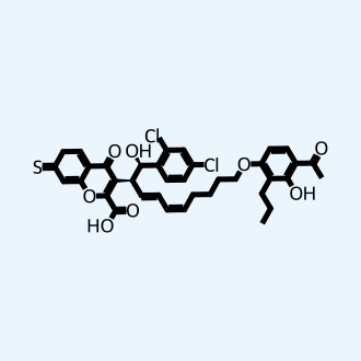 CCCc1c(OCCCC/C=C\C=C\[C@@H](c2c(C(=O)O)oc3c(c2=O)=CCC(=S)C=3)[C@@H](O)c2ccc(Cl)cc2Cl)ccc(C(C)=O)c1O